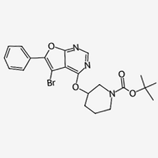 CC(C)(C)OC(=O)N1CCCC(Oc2ncnc3oc(-c4ccccc4)c(Br)c23)C1